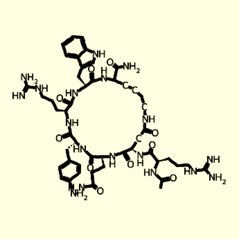 CC(=O)N[C@H](CCCNC(=N)N)C(=O)N[C@H]1CC(=O)NCCCCC(C(N)=O)NC(=O)[C@H](Cc2c[nH]c3ccccc23)NC(=O)[C@H](CCCNC(=N)N)NC(=O)[C@@H](Cc2ccc(N)cc2)NC(=O)[C@H](CCC(N)=O)NC1=O